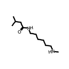 CNCCCCCCNC(=O)CC(C)C